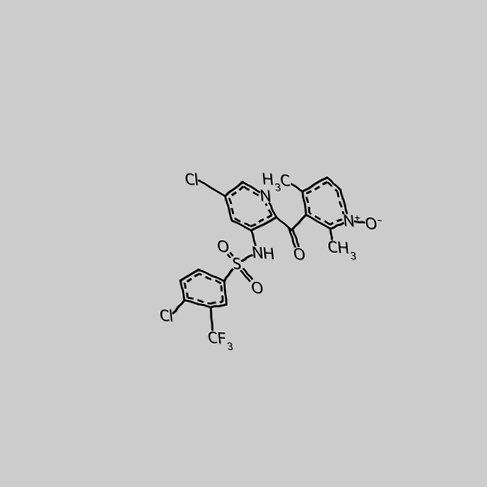 Cc1cc[n+]([O-])c(C)c1C(=O)c1ncc(Cl)cc1NS(=O)(=O)c1ccc(Cl)c(C(F)(F)F)c1